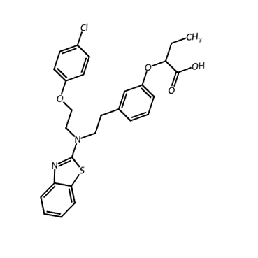 CCC(Oc1cccc(CCN(CCOc2ccc(Cl)cc2)c2nc3ccccc3s2)c1)C(=O)O